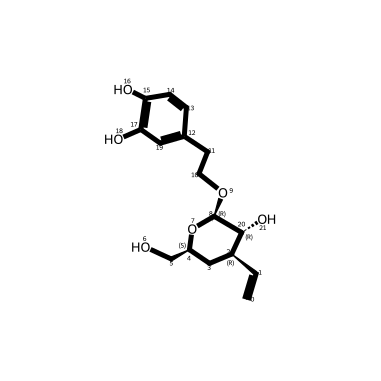 C=C[C@H]1C[C@@H](CO)O[C@@H](OCCc2ccc(O)c(O)c2)[C@@H]1O